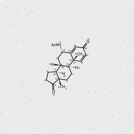 CC(=O)N[C@H]1C[C@@H]2[C@H](CC[C@]3(C)C(=O)CC[C@@H]23)[C@@]2(C)C=CC(=O)C=C12